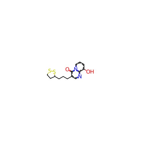 O=c1c(CCCC2CCSS2)cnc2c(O)cccn12